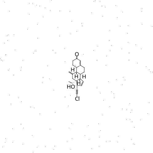 C=C1C[C@@]2(CC)[C@@H](C=C[C@@]2(O)C#CCl)[C@@H]2CCC3=CC(=O)CC[C@@H]3[C@@H]12